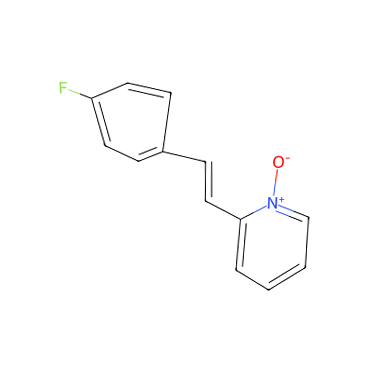 [O-][n+]1ccccc1C=Cc1ccc(F)cc1